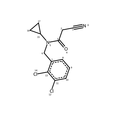 N#CCC(=O)N(Cc1cccc(Cl)c1Cl)C1CC1